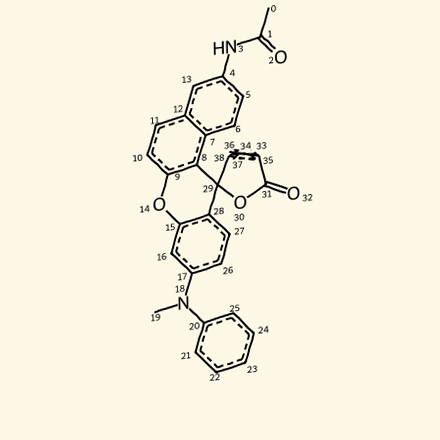 CC(=O)Nc1ccc2c3c(ccc2c1)Oc1cc(N(C)c2ccccc2)ccc1C31OC(=O)c2ccccc21